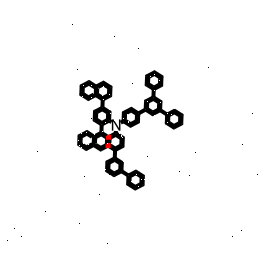 c1ccc(-c2cccc(-c3ccc(N(c4ccc(-c5cc(-c6ccccc6)cc(-c6ccccc6)c5)cc4)c4cc(-c5cccc6ccccc56)ccc4-c4cccc5ccccc45)cc3)c2)cc1